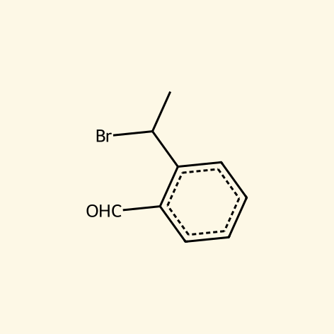 CC(Br)c1ccccc1C=O